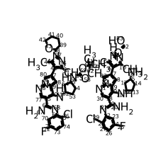 Cc1n[nH]c(C)c1-c1cc2c(N[C@@H]3CC[C@H](N)C3)c(C(N)=Nc3cc(F)ccc3Cl)cnn2c1.Cc1nn(C2CCCCO2)c(C)c1-c1cc2c(N[C@@H]3CC[C@H](NC(=O)OC(C)(C)C)C3)c(C(N)=Nc3cc(F)ccc3Cl)cnn2c1.O=CO